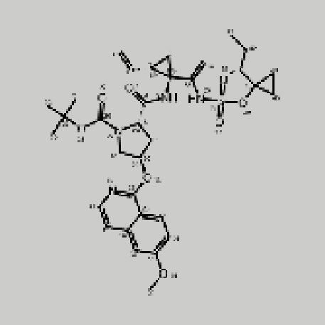 C=C[C@@H]1C[C@]1(NC(=O)[C@@H]1C[C@@H](Oc2nccc3cc(OC)ccc23)CN1C(=O)OC(C)(C)C)C(=C)NS(=O)(=O)OC1(CCC)CC1